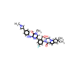 CN1CC(c2ccc(Nc3nc(-c4cc(F)cc(N5CCn6c(cc7c6CC(C)(C)C7)C5=O)c4CO)cn(C)c3=O)cc2)C1